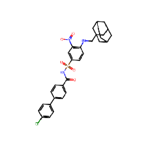 O=C(NS(=O)(=O)c1ccc(NCC23CC4CC(CC(C4)C2)C3)c([N+](=O)[O-])c1)c1ccc(-c2ccc(Cl)cc2)cc1